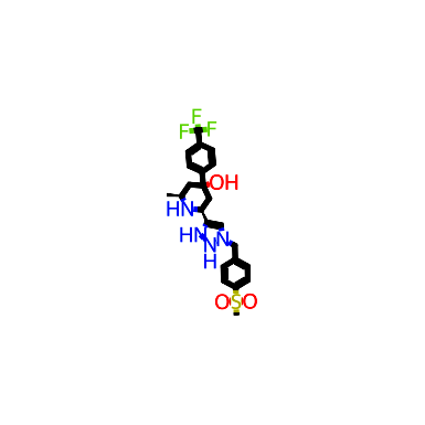 C[C@H]1CC(O)(c2ccc(C(F)(F)F)cc2)C[C@@H](C2=CN(Cc3ccc(S(C)(=O)=O)cc3)NN2)N1